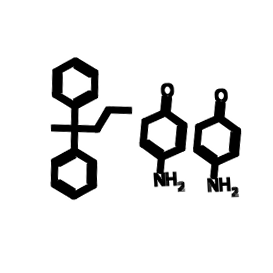 CCCC(C)(c1ccccc1)c1ccccc1.NC1=CCC(=O)C=C1.NC1=CCC(=O)C=C1